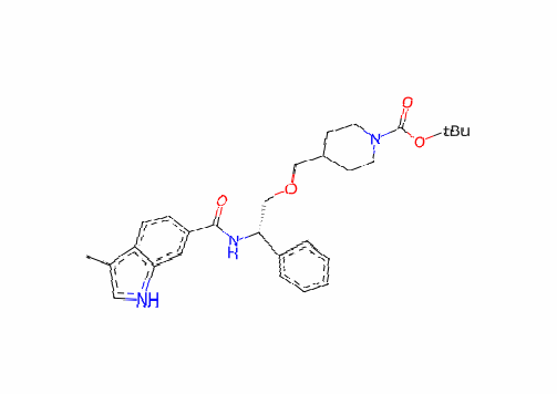 Cc1c[nH]c2cc(C(=O)N[C@H](COCC3CCN(C(=O)OC(C)(C)C)CC3)c3ccccc3)ccc12